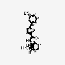 C[C@H]1[C@H](NC(=O)c2ccc(-c3cccc(Br)c3)o2)C2CCN1CC2